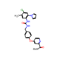 CNC(=O)c1cc(Oc2ccc(CNC(=O)Nc3cc(C)c(Cl)cc3-n3cccc3)cc2)ccn1